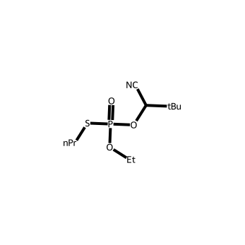 CCCSP(=O)(OCC)OC(C#N)C(C)(C)C